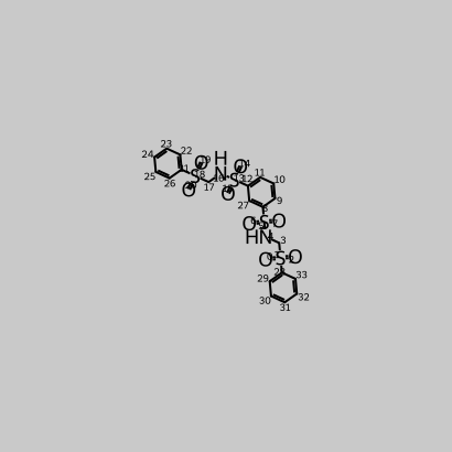 O=S(=O)(CNS(=O)(=O)c1cccc(S(=O)(=O)NCS(=O)(=O)c2ccccc2)c1)c1ccccc1